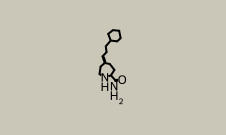 NC(=O)C1CC/C(=C\CCC2CCCCC2)CCN1